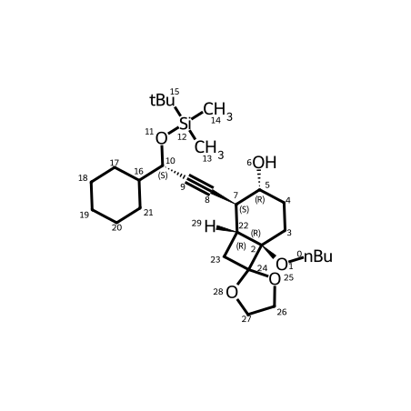 CCCCO[C@]12CC[C@@H](O)[C@H](C#C[C@@H](O[Si](C)(C)C(C)(C)C)C3CCCCC3)[C@H]1CC21OCCO1